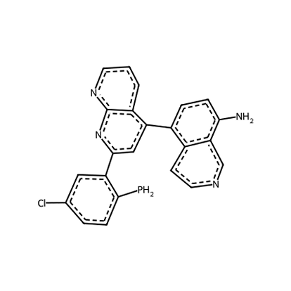 Nc1ccc(-c2cc(-c3cc(Cl)ccc3P)nc3ncccc23)c2ccncc12